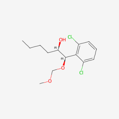 CCCC[C@@H](O)[C@H](OCOC)c1c(Cl)cccc1Cl